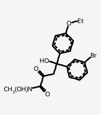 CCOc1ccc(C(O)(CC(=O)C(=O)N(C)O)c2cccc(Br)c2)cc1